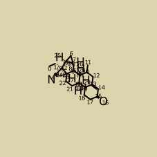 CC[C@]1(C#N)[C@H]2C[C@H]2[C@H]2[C@@H]3C(C)CC4=CC(=O)CC[C@@H]4[C@H]3CC[C@@]21C